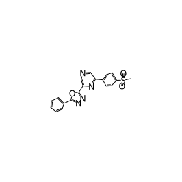 CS(=O)(=O)c1ccc(-c2cncc(-c3nnc(-c4ccccc4)o3)n2)cc1